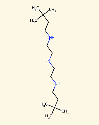 CC(C)(C)CCNCCNCCNCCC(C)(C)C